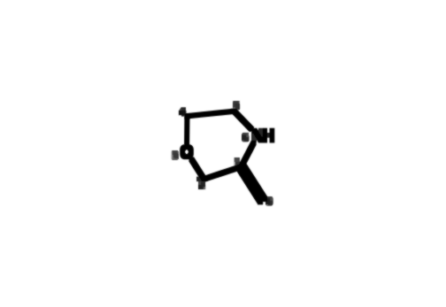 C=C1[CH]OCCN1